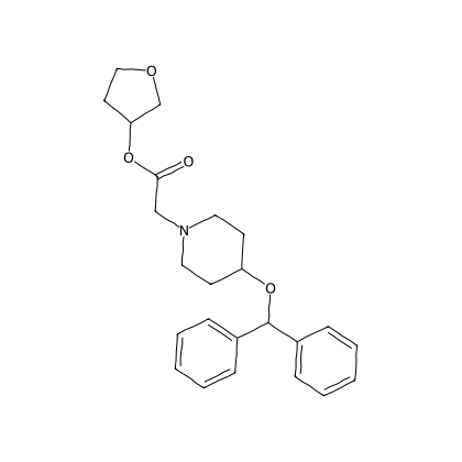 O=C(CN1CCC(OC(c2ccccc2)c2ccccc2)CC1)OC1CCOC1